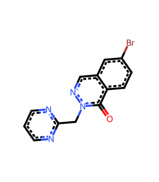 O=c1c2ccc(Br)cc2cnn1Cc1ncccn1